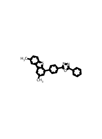 Cc1ccc2sc3c(-c4ccc(-c5nnc(-c6ccccc6)o5)cc4)cc(C)cc3c2c1